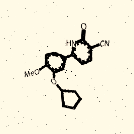 COc1ccc(-c2ccc(C#N)c(=O)[nH]2)cc1OC1CCCC1